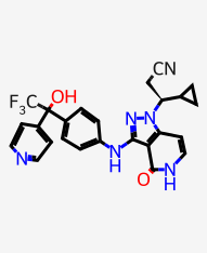 N#CC[C@@H](C1CC1)n1nc(Nc2ccc(C(O)(c3ccncc3)C(F)(F)F)cc2)c2c(=O)[nH]ccc21